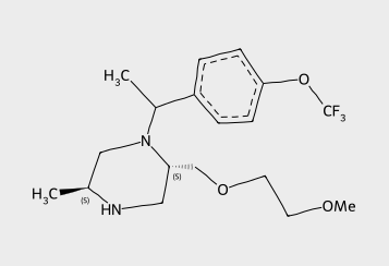 COCCOC[C@@H]1CN[C@@H](C)CN1C(C)c1ccc(OC(F)(F)F)cc1